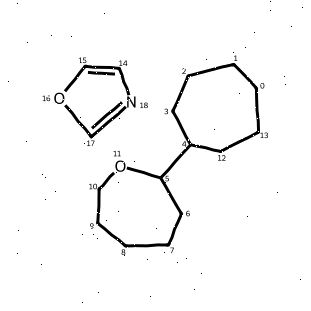 C1CCCC(C2CCCCCO2)CC1.c1cocn1